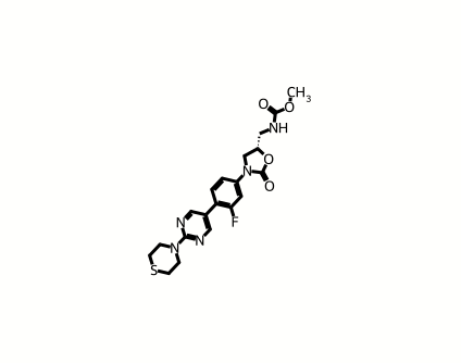 COC(=O)NC[C@H]1CN(c2ccc(-c3cnc(N4CCSCC4)nc3)c(F)c2)C(=O)O1